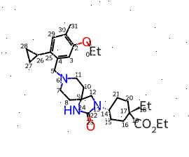 CCOc1cc(CN2CCC3(CC2)CN([C@H]2CC[C@@](CC)(C(=O)OCC)CC2)C(=O)N3)c(C2CC2)cc1C